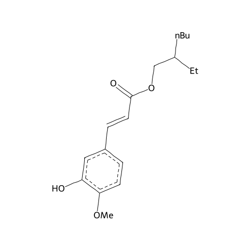 CCCCC(CC)COC(=O)/C=C/c1ccc(OC)c(O)c1